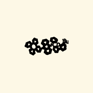 CC(C)(C)c1cccc2c1oc1c(N(c3ccccc3)c3c4ccccc4c(-c4ccc5c(c4)-c4ccccc4-c4ccccc4-c4ccccc4-5)c4ccccc34)cccc12